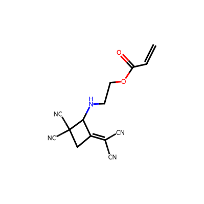 C=CC(=O)OCCNC1C(=C(C#N)C#N)CC1(C#N)C#N